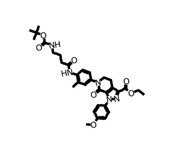 CCOC(=O)c1nn(-c2ccc(OC)cc2)c2c1CCN(c1ccc(NC(=O)CCCNC(=O)OC(C)(C)C)c(C)c1)C2=O